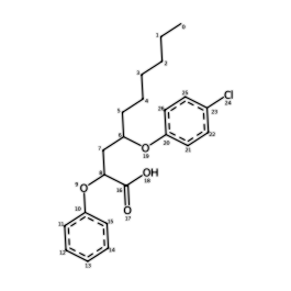 CCCCCCC(CC(Oc1ccccc1)C(=O)O)Oc1ccc(Cl)cc1